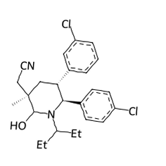 CCC(CC)N1C(O)[C@@](C)(CC#N)C[C@H](c2cccc(Cl)c2)[C@H]1c1ccc(Cl)cc1